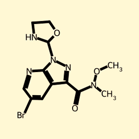 CON(C)C(=O)c1nn(C2NCCO2)c2ncc(Br)cc12